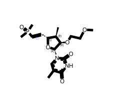 COCCO[C@@H]1[C@H](C)[C@@H](/C=C/P(C)(C)=O)O[C@H]1n1cc(C)c(=O)[nH]c1=O